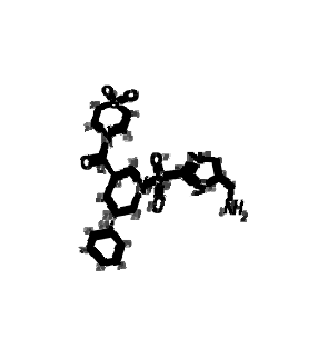 NCc1cnc(S(=O)(=O)N2C[C@H](C(=O)N3CCS(=O)(=O)CC3)C[C@@H](c3ccccc3)C2)s1